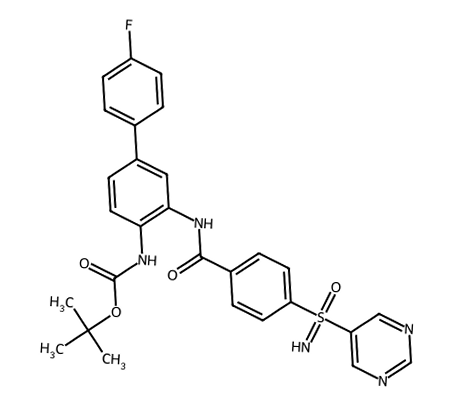 CC(C)(C)OC(=O)Nc1ccc(-c2ccc(F)cc2)cc1NC(=O)c1ccc(S(=N)(=O)c2cncnc2)cc1